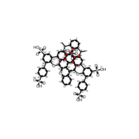 CC(C)c1cccc(C(C)C)c1-n1c(=O)c2cc(Oc3c(-c4ccc(S(=O)(=O)O)cc4)cc(S(=O)(=O)O)cc3-c3ccc(S(=O)(=O)O)cc3)c3oc4ccccc4c4c(Oc5c(-c6ccc(S(=O)(=O)O)cc6)cc(S(=O)(=O)O)cc5-c5ccc(S(=O)(=O)O)cc5)cc(c1=O)c2c34